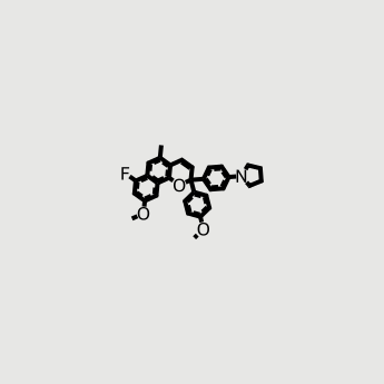 COc1ccc(C2(c3ccc(N4CCCC4)cc3)C=Cc3c(C)cc4c(F)cc(OC)cc4c3O2)cc1